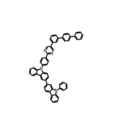 c1ccc(-c2ccc(-c3cccc(-c4cnc(-c5ccc(-n6c7ccccc7c7cc(-c8ccc9c%10ccccc%10n(-c%10ccccc%10)c9c8)ccc76)cc5)nc4)c3)cc2)cc1